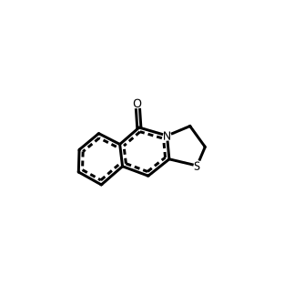 O=c1c2ccccc2cc2n1CCS2